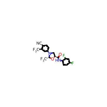 N#Cc1ccc(N2C[C@@H](C(=O)Nc3ccc(F)cc3F)O[C@@H]2C(F)(F)F)cc1C(F)(F)F